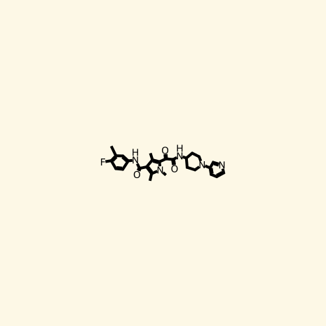 Cc1cc(NC(=O)c2c(C)c(C(=O)C(=O)NC3CCN(c4cccnc4)CC3)n(C)c2C)ccc1F